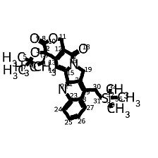 CC[C@@]1(OC(C)(C)C)C(=O)OCc2c1cc1n(c2=O)Cc2c-1nc1ccccc1c2CC[Si](C)(C)C